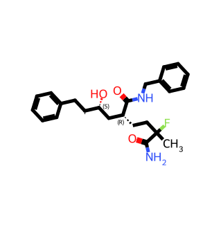 CC(F)(CC[C@H](C[C@@H](O)[CH]Cc1ccccc1)C(=O)NCc1ccccc1)C(N)=O